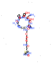 C[C@H](O)[C@@H]1NC(=O)[C@H](CCCCN)NC(=O)[C@H](Cc2ccc(O)cc2)NC(=O)[C@H](Cc2ccccc2)NC(=O)[C@@H](N)Cc2cn(nn2)CCCC[C@@H](C(=O)NCCCOCCOCCOCCCNC(=O)CCCC[C@H]2SC[C@H]3NC(=O)N[C@H]32)NC(=O)[C@H](Cc2c[nH]cn2)NC1=O